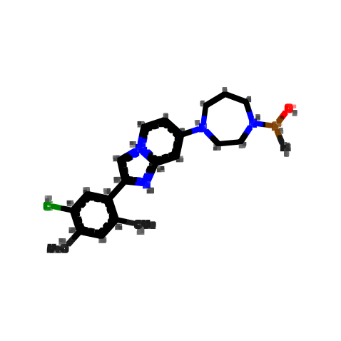 CC[S+]([O-])N1CCCN(c2ccn3cc(-c4cc(Cl)c(OC)cc4OC)nc3c2)CC1